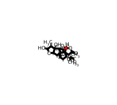 C[C@@H]1C(O)OC2CC34C5C[C@@H](C(C)(C)C)C36[C@@H](OC(=O)[C@@H]6O)O[C@@]4(C(=O)O5)[C@]21O